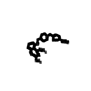 COc1ccc(CN2CCC(COc3cccc4nc(N)nc(N)c34)CC2)cc1